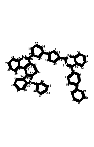 c1ccc(-c2ccc(-c3nc(-c4ccc(-c5cccc(-c6nc7ccccc7c7c6ccc6c7c7ccccc7n6-c6ccccc6)c5)cc4)nc4ccccc34)cc2)cc1